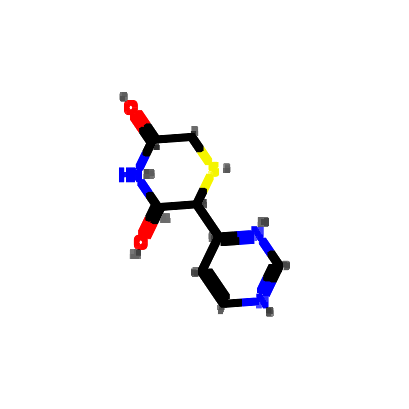 O=C1CSC(c2ccn[c]n2)C(=O)N1